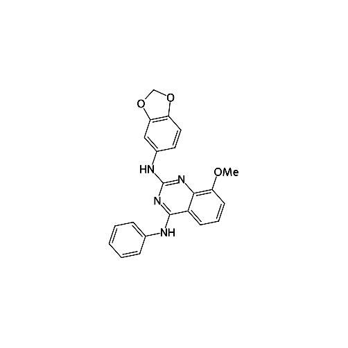 COc1cccc2c(Nc3ccccc3)nc(Nc3ccc4c(c3)OCO4)nc12